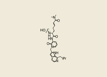 CC(C)Cc1nccc2cc(Cn3cccc(NC(=O)[C@H](CC/C=C/C(=O)N(C)C)NC(=O)O)c3=O)[nH]c12